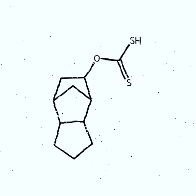 S=C(S)OC1CC2CC1C1CCCC21